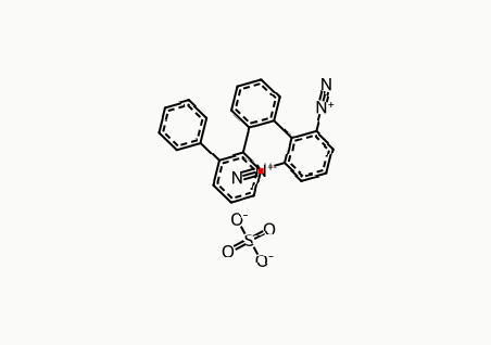 N#[N+]c1cccc([N+]#N)c1-c1ccccc1-c1ccccc1-c1ccccc1.O=S(=O)([O-])[O-]